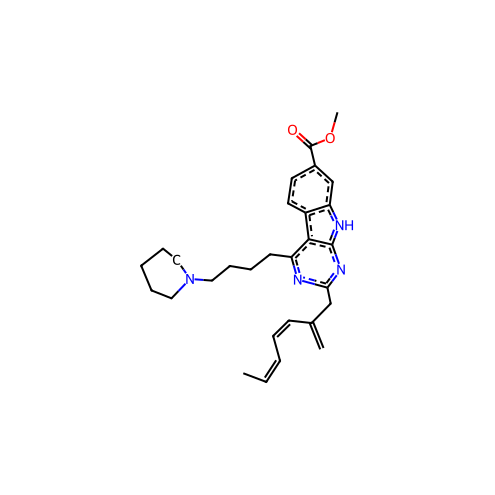 C=C(/C=C\C=C/C)Cc1nc(CCCCN2CCCCC2)c2c(n1)[nH]c1cc(C(=O)OC)ccc12